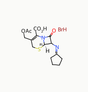 Br.CC(=O)OCC1=C(C(=O)O)N2C(=O)C(N=C3CCCC3)[C@H]2SC1